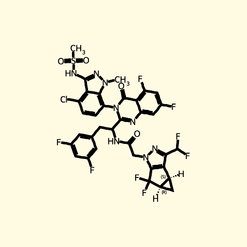 Cn1nc(NS(C)(=O)=O)c2c(Cl)ccc(-n3c(C(Cc4cc(F)cc(F)c4)NC(=O)Cn4nc(C(F)F)c5c4C(F)(F)[C@@H]4C[C@H]54)nc4cc(F)cc(F)c4c3=O)c21